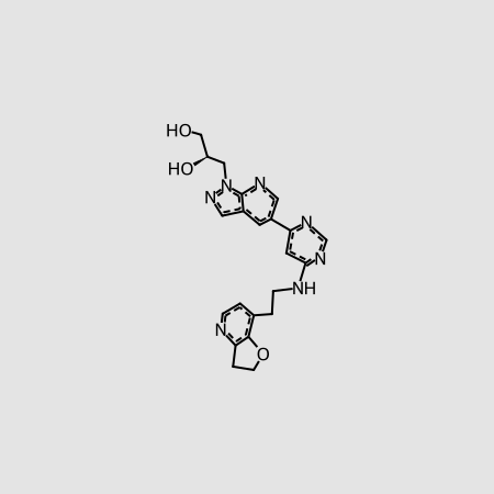 OC[C@H](O)Cn1ncc2cc(-c3cc(NCCc4ccnc5c4OCC5)ncn3)cnc21